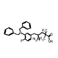 CC(C)(CC(N)Cc1ccc(F)c(N(Cc2ccccc2)Cc2ccccc2)c1)C(=O)O